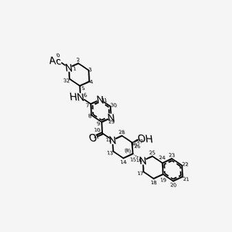 CC(=O)N1CCCC(Nc2cc(C(=O)N3CC[C@@H](N4CCc5ccccc5C4)[C@H](O)C3)ncn2)C1